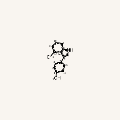 Oc1ccc(-c2c[nH]c3cccc(Cl)c23)cc1